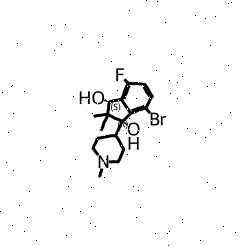 CN1CCC([C@]2(O)c3c(Br)ccc(F)c3[C@@H](O)C2(C)C)CC1